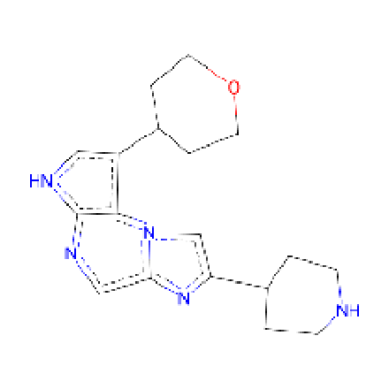 c1[nH]c2ncc3nc(C4CCNCC4)cn3c2c1C1CCOCC1